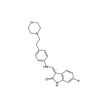 O=C1Nc2cc(F)ccc2/C1=C/Nc1ccc(CCN2CCOCC2)cc1